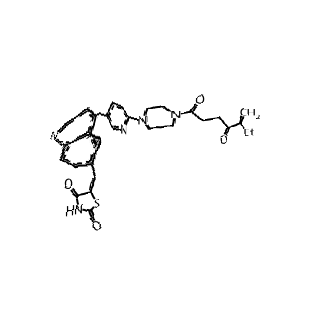 C=C(CC)C(=O)CCC(=O)N1CCN(c2ccc(-c3ccnc4ccc(/C=C5/SC(=O)NC5=O)cc34)cn2)CC1